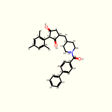 Cc1cc(C)c(C2C(=O)CC(CC3CCN(C(=O)c4ccc(-c5ccccc5)cc4)CC3)C2=O)c(C)c1